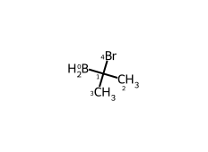 BC(C)(C)Br